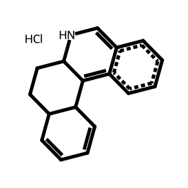 C1=CC2CCC3NC=c4ccccc4=C3C2C=C1.Cl